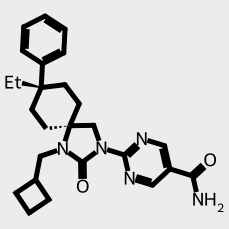 CC[C@]1(c2ccccc2)CC[C@]2(CC1)CN(c1ncc(C(N)=O)cn1)C(=O)N2CC1CCC1